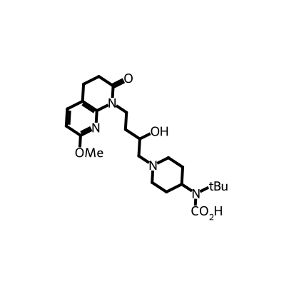 COc1ccc2c(n1)N(CCC(O)CN1CCC(N(C(=O)O)C(C)(C)C)CC1)C(=O)CC2